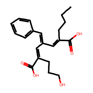 CCCCC(=CC(=Cc1ccccc1)C=C(CCCO)C(=O)O)C(=O)O